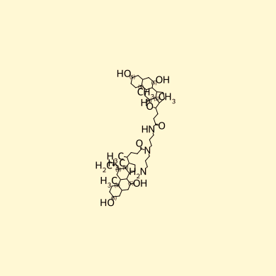 C=C[C@@H]1CC2C(C3CCC(C(C)CCC(=O)N(CCCN)CCCNC(=O)CCC4O[C@@H]5CC6C(C7CCC4[C@]75C)[C@@H](O)CC4C[C@@H](O)CC[C@@]46C)[C@]31C)[C@@H](O)CC1C[C@@H](O)CC[C@@]12C